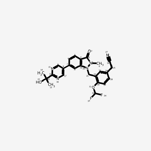 Cn1c(=O)c2ccc(-c3cnc(C(C)(C)O)nc3)cc2n1Cc1cc(CC#N)ccc1OC(F)F